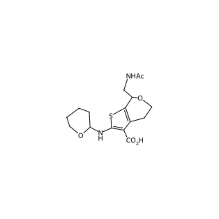 CC(=O)NCC1OCCc2c1sc(NC1CCCCO1)c2C(=O)O